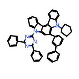 c1ccc(-c2cccc(-c3cc4c(c5ccccc5n4-c4nc(-c5ccccc5)nc(-c5ccccc5)n4)c4c5ccccc5n(C5CCCCC5)c34)c2)cc1